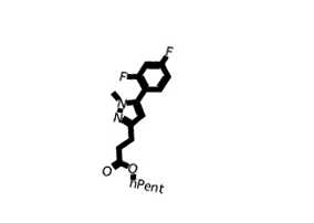 CCCCCOC(=O)CCc1cc(-c2ccc(F)cc2F)n(C)n1